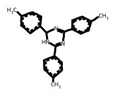 Cc1ccc(C2=NC(c3ccc(C)cc3)NC(c3ccc(C)cc3)=N2)cc1